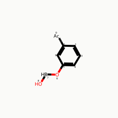 CC(=O)c1cccc(OBO)c1